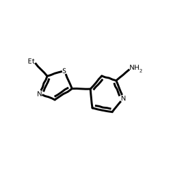 CCc1ncc(-c2ccnc(N)c2)s1